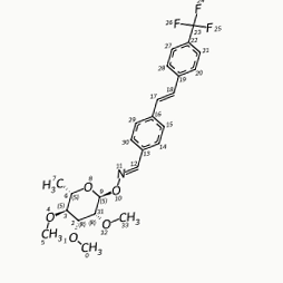 CO[C@@H]1[C@@H](OC)[C@H](C)O[C@@H](ON=Cc2ccc(C=Cc3ccc(C(F)(F)F)cc3)cc2)[C@@H]1OC